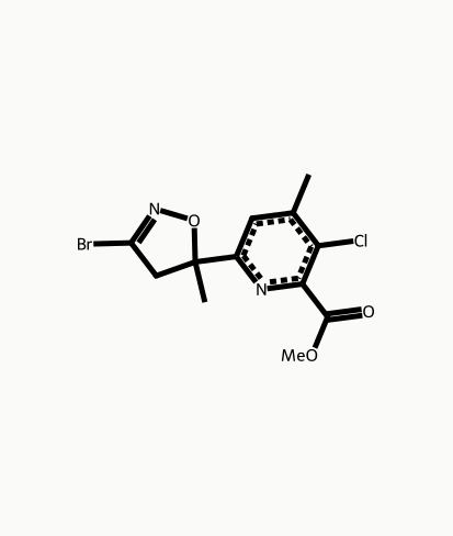 COC(=O)c1nc(C2(C)CC(Br)=NO2)cc(C)c1Cl